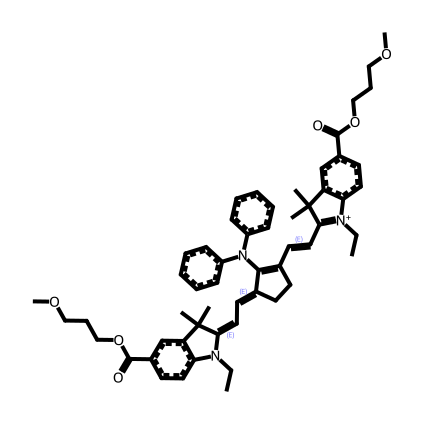 CCN1/C(=C/C=C2\CCC(/C=C/C3=[N+](CC)c4ccc(C(=O)OCCCOC)cc4C3(C)C)=C2N(c2ccccc2)c2ccccc2)C(C)(C)c2cc(C(=O)OCCCOC)ccc21